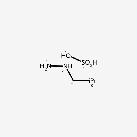 CC(C)CNN.O=S(=O)(O)O